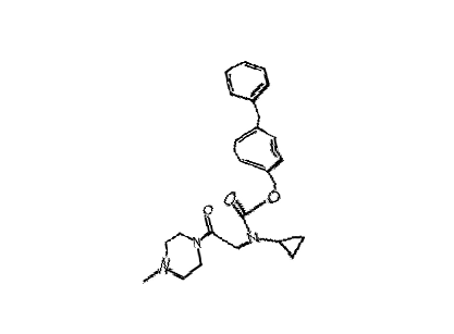 CN1CCN(C(=O)CN(C(=O)Oc2ccc(-c3ccccc3)cc2)C2CC2)CC1